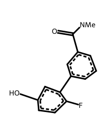 CNC(=O)c1cccc(-c2cc(O)ccc2F)c1